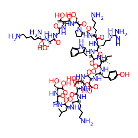 CC[C@H](C)[C@H](NC(=O)[C@H](Cc1c[nH]c2ccccc12)NC(=O)[C@H](CCCNC(=N)N)NC(=O)[C@H](CCCCN)NC(=O)[C@@H]1CCCN1C(=O)[C@H](CO)NC(=O)[C@@H](NC(=O)CNC(=O)[C@H](CO)NC(=O)[C@@H](N)CCCCN)[C@@H](C)O)C(=O)N[C@@H](Cc1ccc(O)cc1)C(=O)N[C@@H](CC(=O)O)C(=O)N[C@H](C(=O)N[C@@H](CO)C(=O)N[C@@H](CCCCN)C(=O)N[C@@H](CC(C)C)C(=O)N[C@@H](C)C(=O)N[C@@H](CO)C(=O)O)[C@@H](C)O